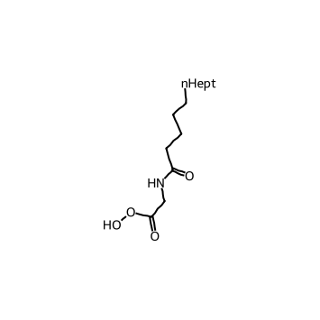 CCCCCCCCCCCC(=O)NCC(=O)OO